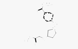 COC(=O)c1ccc(ON2CC[C@@H](OCC(=O)OC(C)(C)C)C2)cc1